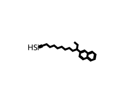 CCC(CCCCCCCCC#[SiH])c1ccc2ccccc2c1